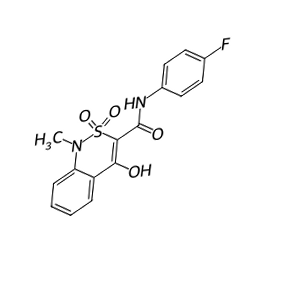 CN1c2ccccc2C(O)=C(C(=O)Nc2ccc(F)cc2)S1(=O)=O